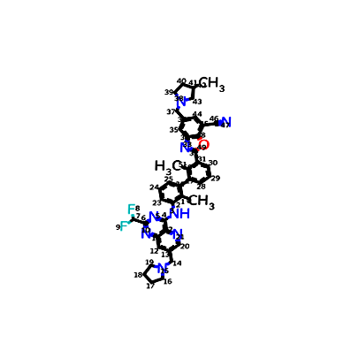 Cc1c(Nc2nc(C(F)F)nc3cc(CN4CCCC4)cnc23)cccc1-c1cccc(-c2nc3cc(CN4CCC(C)C4)cc(C#N)c3o2)c1C